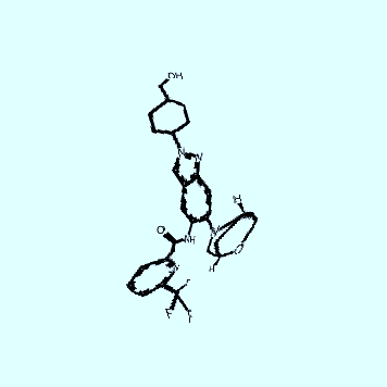 O=C(Nc1cc2cn(C3CCC(CO)CC3)nc2cc1N1C[C@@H]2C[C@H]1CO2)c1cccc(C(F)(F)F)n1